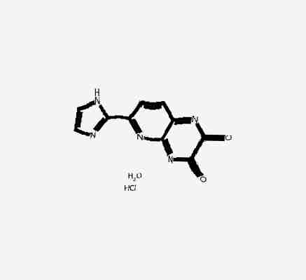 Cl.O.O=C1N=c2ccc(-c3ncc[nH]3)nc2=NC1=O